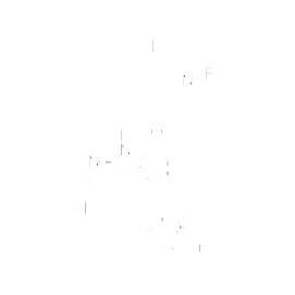 CCN(CCO)CCCOc1ccc(-c2cccc(S(=O)(=O)CC)c2)c2c1[nH]c1ncc(Cl)cc12